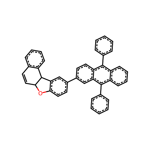 C1=CC2Oc3ccc(-c4ccc5c(-c6ccccc6)c6ccccc6c(-c6ccccc6)c5c4)cc3C2c2ccccc21